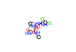 O=C(NCc1ccccc1)C(=O)[C@H](C[C@@H]1CCNC1=O)NC(=O)[C@H](Cc1cccc(F)c1)NC(=O)c1cc2c(Cl)cc(Cl)cc2[nH]1